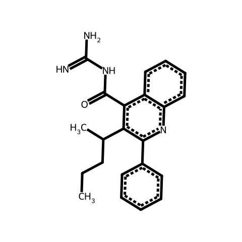 CCCC(C)c1c(-c2ccccc2)nc2ccccc2c1C(=O)NC(=N)N